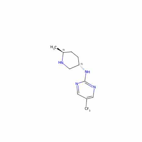 C[C@H]1CC[C@H](Nc2ncc(C(F)(F)F)cn2)CN1